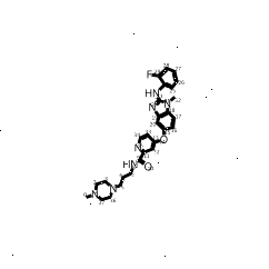 CN1CCN(CCCNC(=O)c2cc(Oc3ccc4c(c3)nc(Nc3ccccc3F)n4C)ccn2)CC1